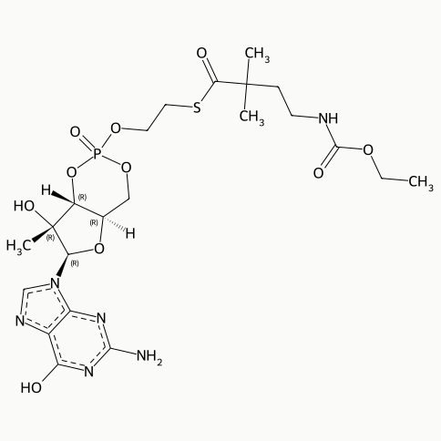 CCOC(=O)NCCC(C)(C)C(=O)SCCOP1(=O)OC[C@H]2O[C@@H](n3cnc4c(O)nc(N)nc43)[C@](C)(O)[C@@H]2O1